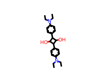 CCN(CC)c1ccc(C2C(O)C(c3ccc(N(CC)CC)cc3)C2O)cc1